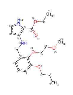 CCCOc1cccc(CNc2cc[nH]c2C(=O)OCC)c1OCCOC